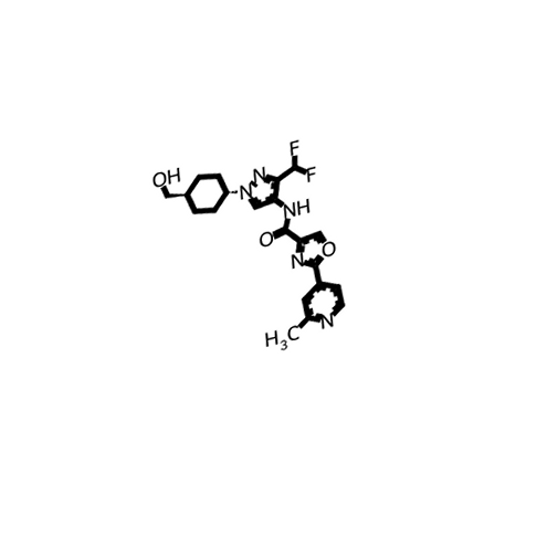 Cc1cc(-c2nc(C(=O)Nc3cn([C@H]4CC[C@H](CO)CC4)nc3C(F)F)co2)ccn1